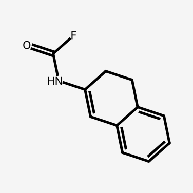 O=C(F)NC1=Cc2ccccc2CC1